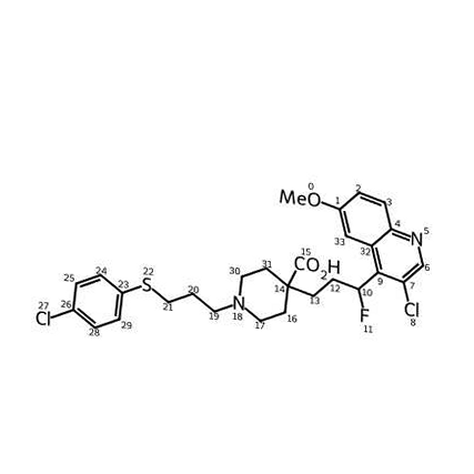 COc1ccc2ncc(Cl)c(C(F)CCC3(C(=O)O)CCN(CCCSc4ccc(Cl)cc4)CC3)c2c1